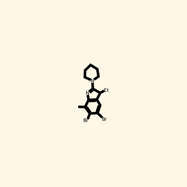 CCC1C(N2CCCCC2)=Nc2c1cc(Br)c(Br)c2C